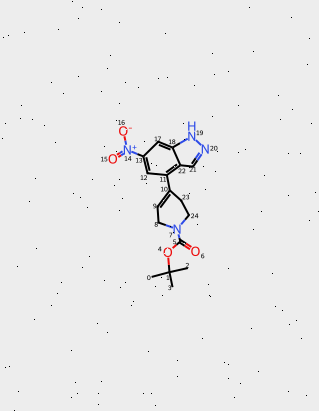 CC(C)(C)OC(=O)N1CC=C(c2cc([N+](=O)[O-])cc3[nH]ncc23)CC1